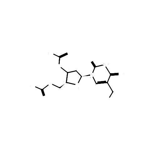 CC(=O)OC[C@@H]1O[C@H](n2cc(CF)c(=O)[nH]c2=O)CC1OC(C)=O